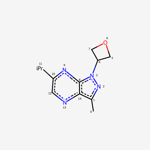 Cc1nn(C2COC2)c2nc(C(C)C)cnc12